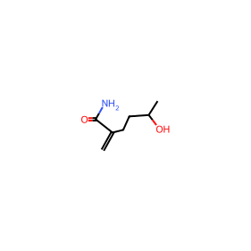 C=C(CCC(C)O)C(N)=O